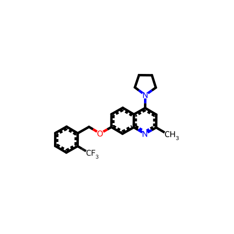 Cc1cc(N2CCCC2)c2ccc(OCc3ccccc3C(F)(F)F)cc2n1